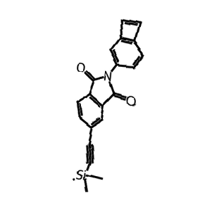 C[Si](C)(C)C#Cc1ccc2c(c1)C(=O)N(c1ccc3c(c1)C=C3)C2=O